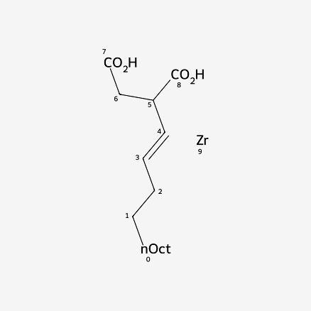 CCCCCCCCCCC=CC(CC(=O)O)C(=O)O.[Zr]